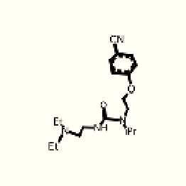 CCN(CC)CCNC(=O)N(CCOc1ccc(C#N)cc1)C(C)C